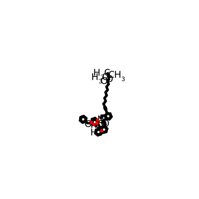 CC(C)(C)OC(=O)CCCCCCCCC#Cc1cccc2c1CN(C1CCC(Oc3ccccc3)NC1Oc1ccccc1)C2(Oc1ccccc1)Oc1ccccc1